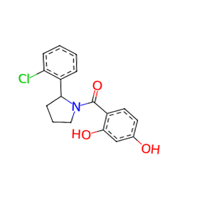 O=C(c1ccc(O)cc1O)N1CCCC1c1ccccc1Cl